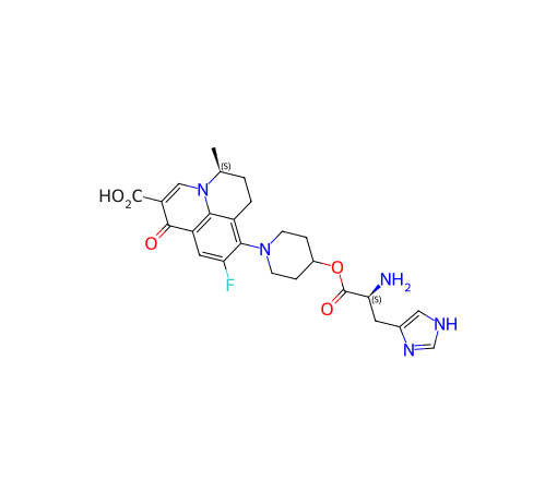 C[C@H]1CCc2c(N3CCC(OC(=O)[C@@H](N)Cc4c[nH]cn4)CC3)c(F)cc3c(=O)c(C(=O)O)cn1c23